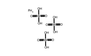 P.[O]=[W](=[O])([OH])[OH].[O]=[W](=[O])([OH])[OH].[O]=[W](=[O])([OH])[OH]